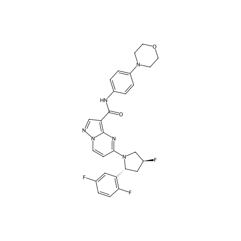 O=C(Nc1ccc(N2CCOCC2)cc1)c1cnn2ccc(N3C[C@@H](F)C[C@@H]3c3cc(F)ccc3F)nc12